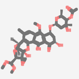 COc1c2c(c(O)c3c4c(c(C)cc13)[C@@H]1O[C@@]3(C(OC)OC)O[C@@H]1[C@@](O)(O4)[C@@]31CO1)C(=O)[C@@H](O)C[C@@H]2O[C@H]1C[C@@](C)(O)[C@H](OC(C)=O)[C@H](C)O1